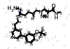 CNC(=O)c1cn(CC(F)CC/C(=N/N)SCCc2cncc(-c3cccc(OC(F)(F)F)c3)c2)nn1